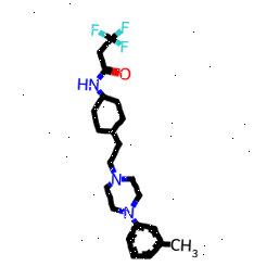 Cc1cccc(N2CCN(CCC3CCC(NC(=O)CC(F)(F)F)CC3)CC2)c1